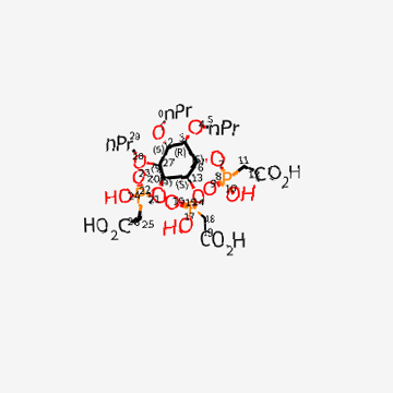 CCCO[C@@H]1[C@@H](OCCC)[C@H](OP(=O)(O)CC(=O)O)[C@@H](OP(=O)(O)CC(=O)O)[C@@H](OP(=O)(O)CC(=O)O)[C@H]1OCCC